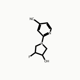 N#Cc1ccnc(N2CC(O)C(F)C2)c1